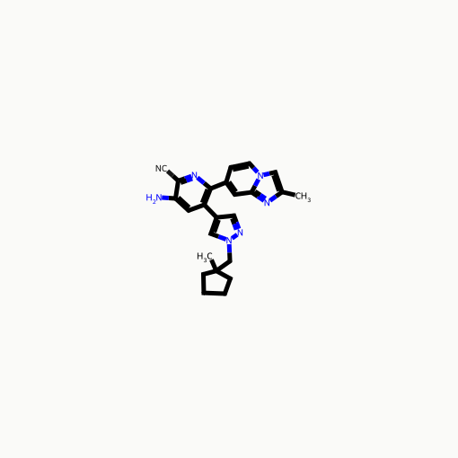 Cc1cn2ccc(-c3nc(C#N)c(N)cc3-c3cnn(CC4(C)CCCC4)c3)cc2n1